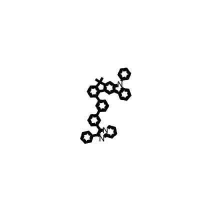 CC1(C)c2cc3c(cc2-c2c(-c4cccc(-c5cccc(-c6c(-c7ccccc7)nc7ccccn67)c5)c4)cccc21)c1ccccc1n3-c1ccccc1